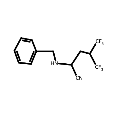 N#CC(CC(C(F)(F)F)C(F)(F)F)NCc1ccccc1